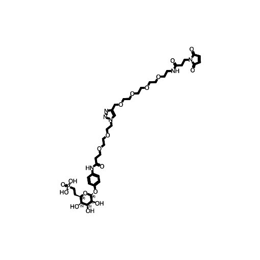 O=C(CCN1C(=O)C=CC1=O)NCCOCCOCCOCCOCc1cn(CCOCCOCCC(=O)Nc2ccc(O[C@H]3O[C@H](CCP(=O)(O)O)[C@@H](O)[C@H](O)[C@@H]3O)cc2)nn1